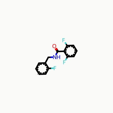 O=C(NCc1cc[c]cc1F)c1c(F)cccc1F